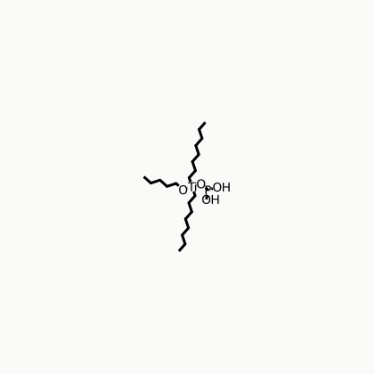 CCCCCCC[CH2][Ti]([CH2]CCCCCCC)([O]CCCCC)[O]P(O)O